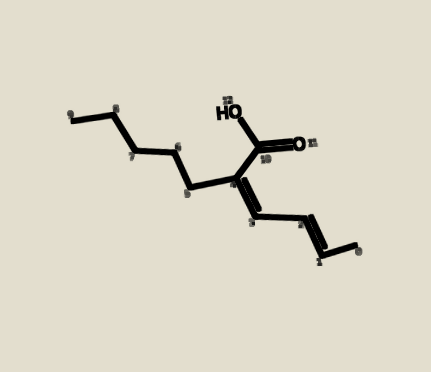 CC=CC=C(CCCCC)C(=O)O